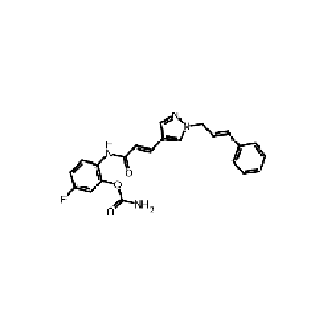 NC(=O)Oc1cc(F)ccc1NC(=O)/C=C/c1cnn(C/C=C/c2ccccc2)c1